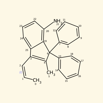 C/C=C\C1=C(C)C(c2ccccc2)(c2ccccc2)c2c(N)cccc21